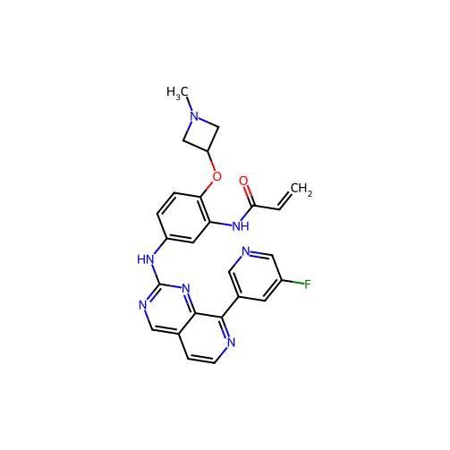 C=CC(=O)Nc1cc(Nc2ncc3ccnc(-c4cncc(F)c4)c3n2)ccc1OC1CN(C)C1